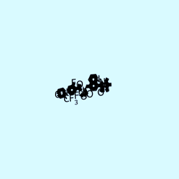 Cc1nc(-c2ccc(C[C@H]3C(=O)OCN3C(=O)c3c(F)cc(N4CCOC[C@@H]4C(F)(F)F)cc3F)c3cccnc23)c(=O)n(C)c1C